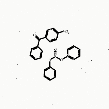 O=C(c1ccccc1)c1ccc([N+](=O)[O-])cc1.O=[PH](Oc1ccccc1)Oc1ccccc1